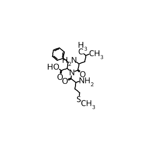 CSCCC(N)C(=O)N(C(=O)C(N)CC(C)C)C(Cc1ccccc1)C(=O)O